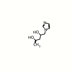 C=C(O)CC(O)Cn1ccnc1